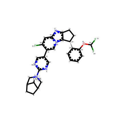 O=C(O)C1C2CCC1CN(c1ncc(-c3cn4c5c(nc4cc3F)CC[C@@H]5c3ccccc3OC(F)F)cn1)C2